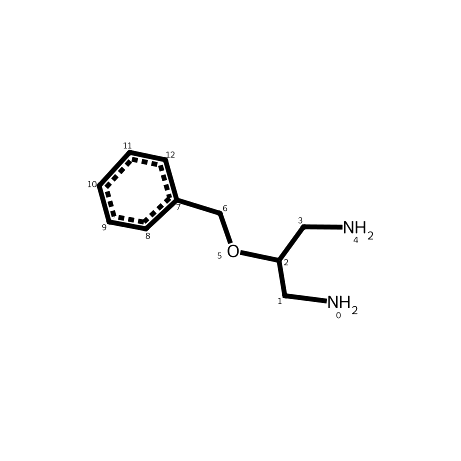 NCC(CN)OCc1ccccc1